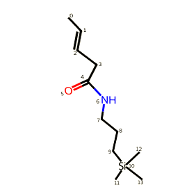 CC=CCC(=O)NCCC[Si](C)(C)C